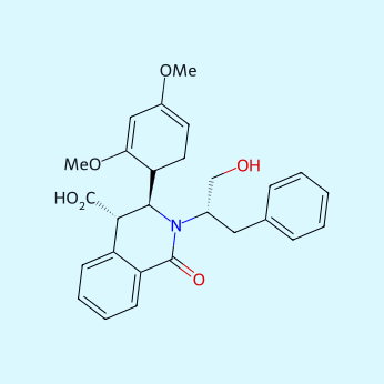 COC1=CCC([C@@H]2[C@@H](C(=O)O)c3ccccc3C(=O)N2[C@H](CO)Cc2ccccc2)C(OC)=C1